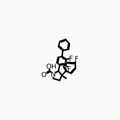 CC1(c2ccc(F)cc2)CCN(C(=O)O)C1c1ccc(-c2ccccc2)c(F)c1F